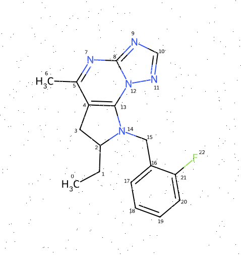 CCC1Cc2c(C)nc3ncnn3c2N1Cc1ccccc1F